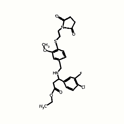 CCOC(=O)CC(NCc1ccc(SCCN2C(=O)CCC2=O)c(OC)c1)c1ccc(Cl)c(F)c1